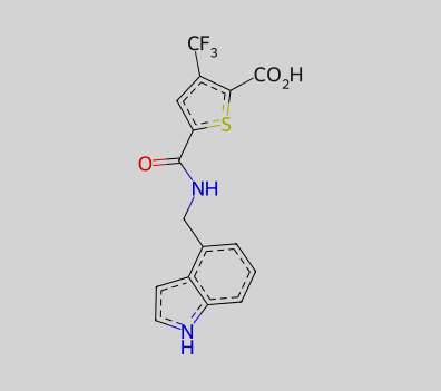 O=C(NCc1cccc2[nH]ccc12)c1cc(C(F)(F)F)c(C(=O)O)s1